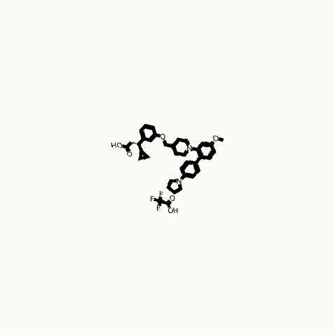 COc1ccc(-c2ccc(N3CCCC3)cc2)c(N2CCC(COc3cccc([C@@H](CC(=O)O)C4CC4)c3)CC2)c1.O=C(O)C(F)(F)F